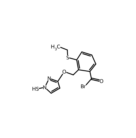 CCSc1cccc(C(=O)Br)c1COc1ccn(S)n1